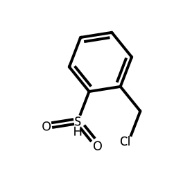 O=[SH](=O)c1ccccc1CCl